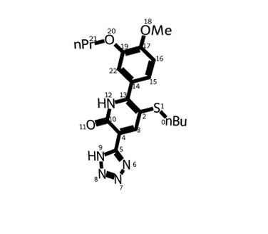 CCCCSc1cc(-c2nnn[nH]2)c(=O)[nH]c1-c1ccc(OC)c(OCCC)c1